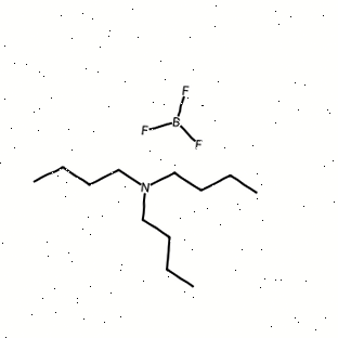 CCCCN(CCCC)CCCC.FB(F)F